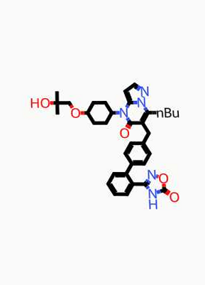 CCCCc1c(Cc2ccc(-c3ccccc3-c3noc(=O)[nH]3)cc2)c(=O)n(C2CCC(OCC(C)(C)O)CC2)c2ccnn12